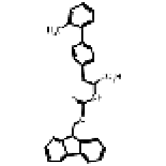 Cc1ccccc1-c1ccc(CC(NC(=O)OCC2c3ccccc3-c3ccccc32)C(=O)O)cc1